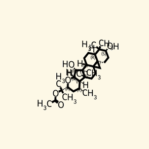 CC(=O)OC(C)(C)[C@H]1C[C@@H](C)[C@H]2[C@H](O1)[C@H](O)[C@@]1(C)[C@@H]3CC[C@H]4C(C)(C)[C@@H](O)CC[C@@]45CC35CC[C@]21C